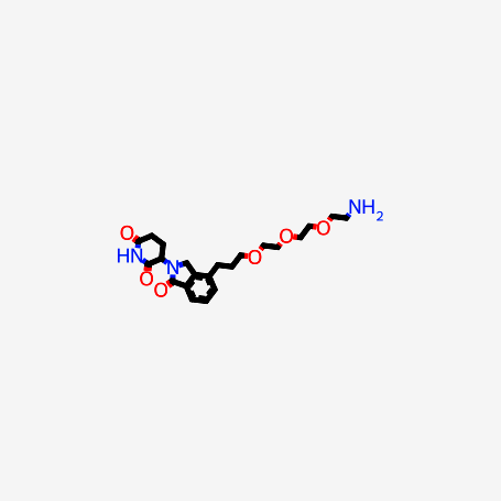 NCCOCCOCCOCCCc1cccc2c1CN(C1CCC(=O)NC1=O)C2=O